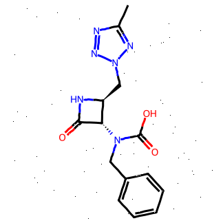 Cc1nnn(C[C@@H]2NC(=O)[C@H]2N(Cc2ccccc2)C(=O)O)n1